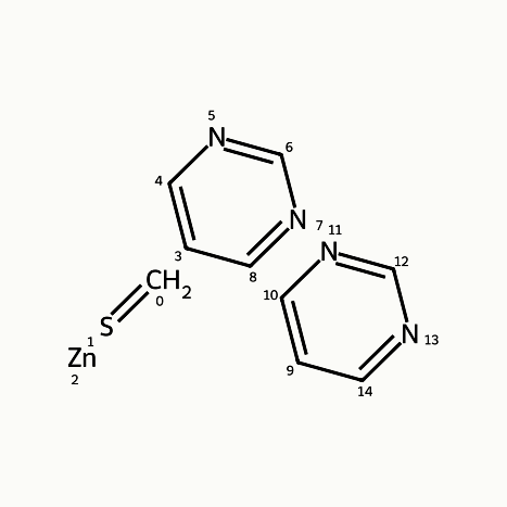 C=S.[Zn].c1cncnc1.c1cncnc1